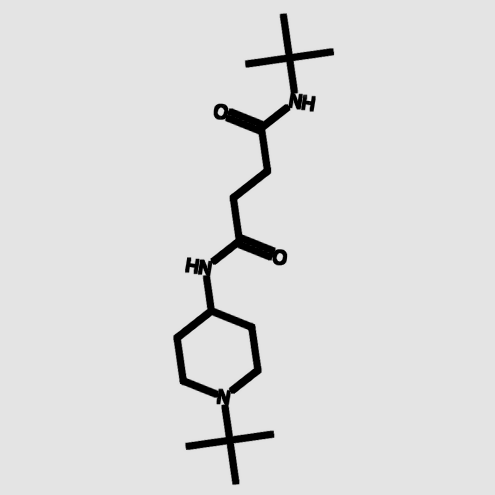 CC(C)(C)NC(=O)CCC(=O)NC1CCN(C(C)(C)C)CC1